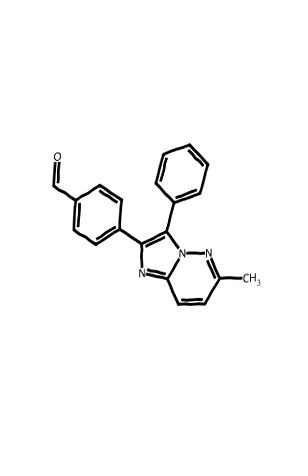 Cc1ccc2nc(-c3ccc(C=O)cc3)c(-c3ccccc3)n2n1